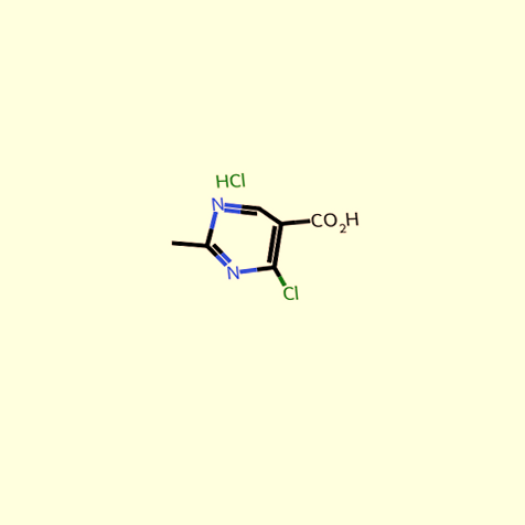 Cc1ncc(C(=O)O)c(Cl)n1.Cl